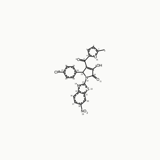 Cc1ccc(C(=O)C2=C(O)C(=O)N(c3nc4ccc([N+](=O)[O-])cc4s3)C2c2ccc(Cl)cc2)o1